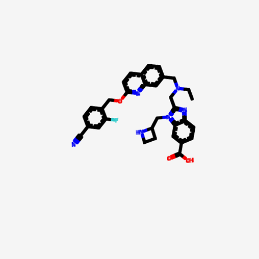 CCN(Cc1ccc2ccc(OCc3ccc(C#N)cc3F)nc2c1)Cc1nc2ccc(C(=O)O)cc2n1CC1CCN1